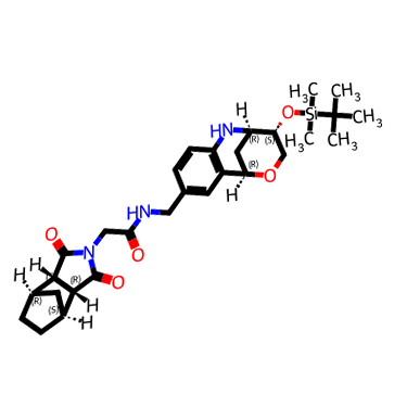 CC(C)(C)[Si](C)(C)O[C@@H]1CO[C@@H]2C[C@H]1Nc1ccc(CNC(=O)CN3C(=O)[C@@H]4[C@H]5CC[C@H](C5)[C@@H]4C3=O)cc12